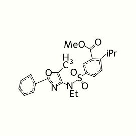 CCN(c1nc(-c2ccccc2)oc1C)S(=O)(=O)c1ccc(C(C)C)c(C(=O)OC)c1